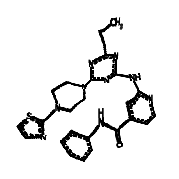 CCc1nc(Nc2cc(C(=O)Nc3ccccc3)ccn2)nc(N2CCN(c3nccs3)CC2)n1